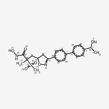 C[C@H](O)c1ccc(-c2ccc(C3=NOC(CC(C)(C(=O)NO)S(C)(=O)=O)C3)cc2)cc1